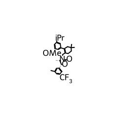 COc1ccc(C(C)C)cc1C1=C(CN2C(=O)O[C@H](c3cc(C)cc(C(F)(F)F)c3)[C@@H]2C)CCC(C)(C)C1